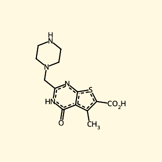 Cc1c(C(=O)O)sc2nc(CN3CCNCC3)[nH]c(=O)c12